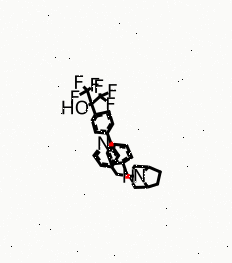 OC(c1ccc(-c2ccc(CN3C4CCC3CN(Cc3ccncc3)C4)cc2)cc1)(C(F)(F)F)C(F)(F)F